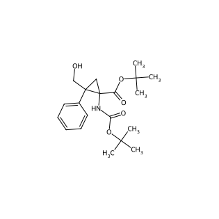 CC(C)(C)OC(=O)NC1(C(=O)OC(C)(C)C)CC1(CO)c1ccccc1